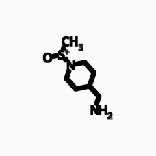 C[S+]([O-])N1CCC(CN)CC1